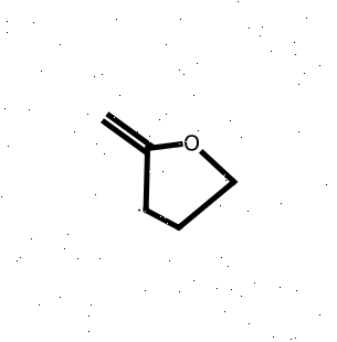 C=C1[CH]CCO1